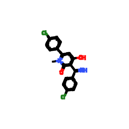 Cn1c(-c2ccc(Cl)cc2)cc(O)c(C(=N)c2ccc(Cl)cc2)c1=O